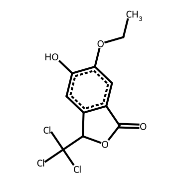 CCOc1cc2c(cc1O)C(C(Cl)(Cl)Cl)OC2=O